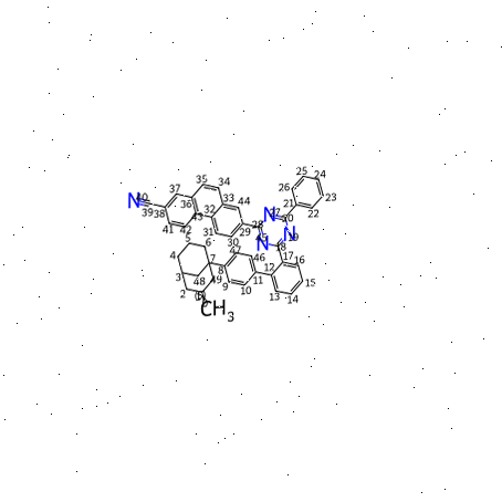 C[C@H]1CC2CCCC(c3ccc(-c4ccccc4-c4nc(-c5ccccc5)nc(-c5ccc6c(ccc7cc(C#N)ccc76)c5)n4)cc3)(C2)C1